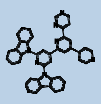 c1ccc2c(c1)c1ccccc1n2-c1cc(-c2cc(-c3ccncc3)cc(-c3ccncn3)n2)cc(-n2c3ccccc3c3ccccc32)n1